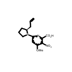 C=CC[C@@H]1CCCN1c1cc(OC)c([N+](=O)[O-])c(C(=O)O)n1